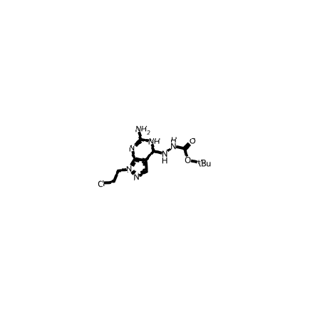 CC(C)(C)OC(=O)NNC1NC(N)=Nc2c1cnn2CCCl